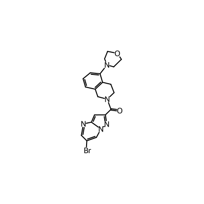 O=C(c1cc2ncc(Br)cn2n1)N1CCc2c(cccc2N2CCOCC2)C1